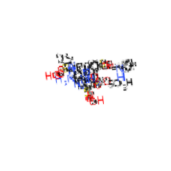 Cc1ccc(N=Nc2c(N)c(/N=N\c3ccc(S(=O)(=O)CCOS(=O)(=O)O)cc3SOOO)c(N)c(N=Nc3ccc(SOOCCNc4ccccc4)cc3)c2C(=O)O)c(SOOO)c1